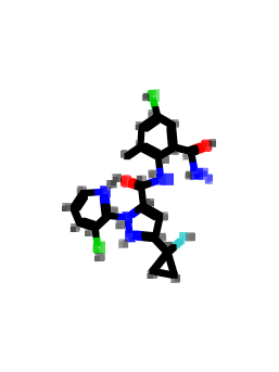 Cc1cc(Cl)cc(C(N)=O)c1NC(=O)c1cc(C2(F)CC2)nn1-c1ncccc1Cl